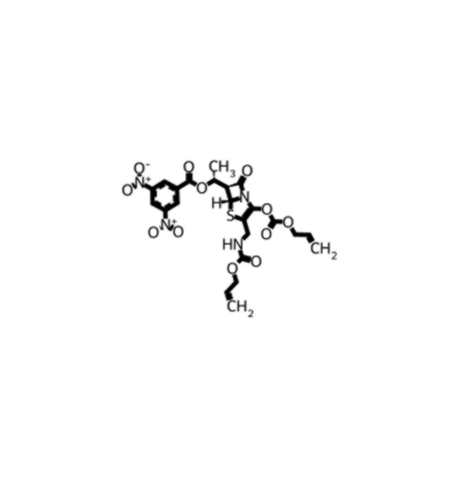 C=CCOC(=O)NCC1=C(OC(=O)OCC=C)N2C(=O)[C@H]([C@@H](C)OC(=O)c3cc([N+](=O)[O-])cc([N+](=O)[O-])c3)[C@H]2S1